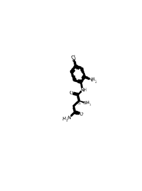 NC(=O)C[C@H](N)C(=O)Nc1[c]cc(Cl)cc1N